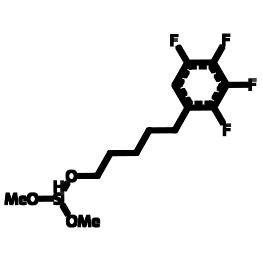 CO[SiH](OC)OCCCCCc1cc(F)c(F)c(F)c1F